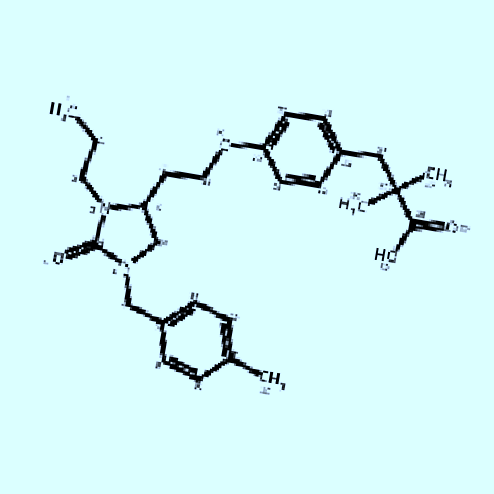 CCCN1C(=O)N(Cc2ccc(C)cc2)CC1CCOc1ccc(CC(C)(C)C(=O)O)cc1